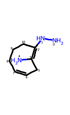 NN/C1=C(/N)C/C=C\CCC1